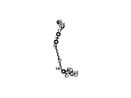 CC(C)(c1ccc(OCCCCCCCCOCCCCNc2ccc3c(c2)C(=O)N(C2CCC(=O)NC2=O)C3=O)cc1)c1ccc(OCc2ccnc(-n3cccn3)n2)cc1